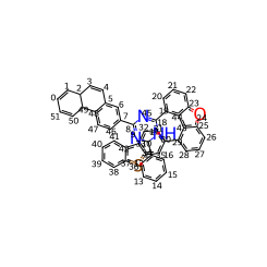 C1=CC2C=Cc3cc(C4=NC(c5ccccc5)NC(c5cccc6oc7cccc(-c8ccc9c(c8)sc8ccccc89)c7c56)=N4)ccc3C2C=C1